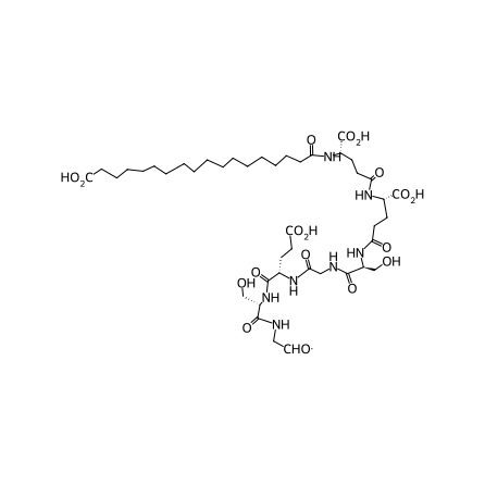 O=[C]CNC(=O)[C@H](CO)NC(=O)[C@H](CCC(=O)O)NC(=O)CNC(=O)[C@H](CO)NC(=O)CC[C@H](NC(=O)CC[C@H](NC(=O)CCCCCCCCCCCCCCCCC(=O)O)C(=O)O)C(=O)O